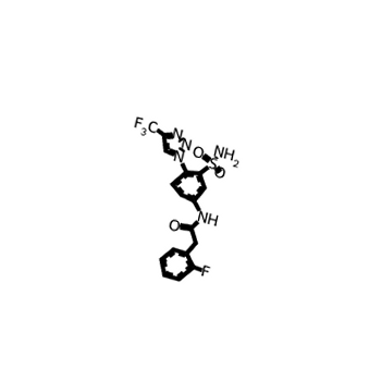 NS(=O)(=O)c1cc(NC(=O)Cc2ccccc2F)ccc1-n1cc(C(F)(F)F)nn1